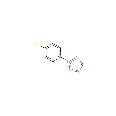 Sc1ccc(-n2ncnn2)cc1